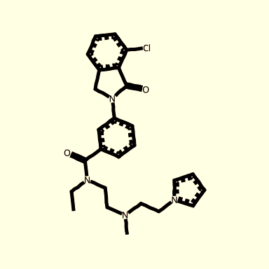 CCN(CCN(C)CCn1cccc1)C(=O)c1cccc(N2Cc3cccc(Cl)c3C2=O)c1